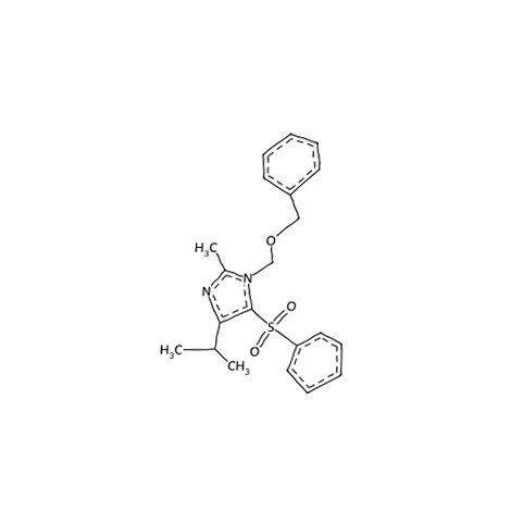 Cc1nc(C(C)C)c(S(=O)(=O)c2ccccc2)n1COCc1ccccc1